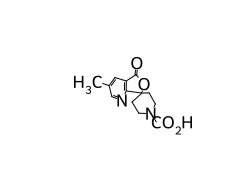 Cc1cnc2c(c1)C(=O)OC21CCN(C(=O)O)CC1